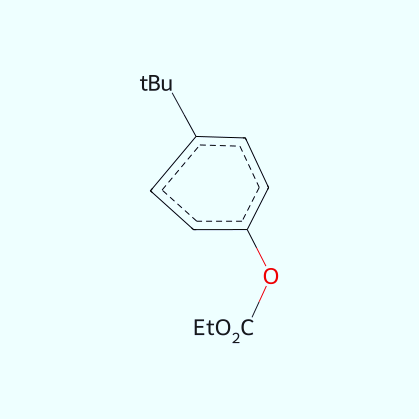 CCOC(=O)Oc1ccc(C(C)(C)C)cc1